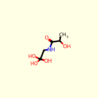 CC(O)C(=O)NCC(O)(O)O